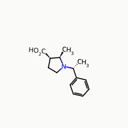 C[C@H](c1ccccc1)N1CC[C@@H](C(=O)O)[C@H]1C